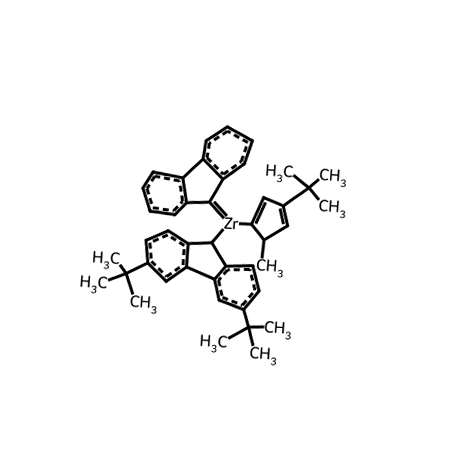 CC1C=C(C(C)(C)C)C=[C]1[Zr](=[C]1c2ccccc2-c2ccccc21)[CH]1c2ccc(C(C)(C)C)cc2-c2cc(C(C)(C)C)ccc21